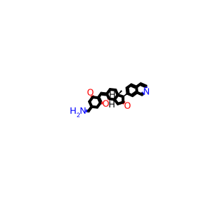 C[C@]12CCC3=CC4=C(CC(CN)CC4=O)O[C@H]3[C@@H]1CC(=O)[C@@H]2c1ccc2ccncc2c1